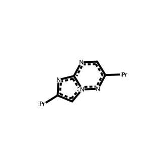 CC(C)c1cn2nc(C(C)C)cnc2n1